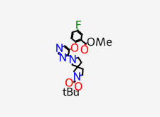 COC(=O)c1cc(F)ccc1Oc1cncnc1N1CCC2(CCN(C(=O)OC(C)(C)C)C2)C1